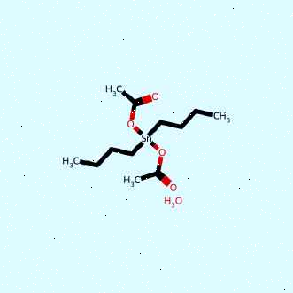 CCC[CH2][Sn]([CH2]CCC)([O]C(C)=O)[O]C(C)=O.O